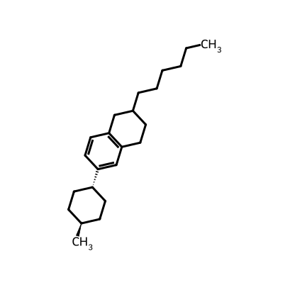 CCCCCCC1CCc2cc([C@H]3CC[C@H](C)CC3)ccc2C1